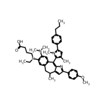 CCCc1ccc(-c2cc(C)c(C3=C4N=C(c5ccc(OC)cc5)C=C4C(C)Cc4cc(N(CC)CCCC(=O)O)c(N(C)C)cc43)n2C)cc1